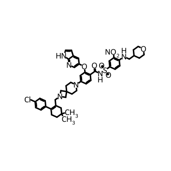 CC1(C)CCC(c2ccc(Cl)cc2)=C(CN2CC3(CCN(c4ccc(C(=O)NS(=O)(=O)c5ccc(NCC6CCOCC6)c([N+](=O)[O-])c5)c(Oc5cnc6[nH]ccc6c5)c4)CC3)C2)C1